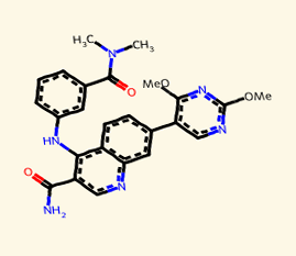 COc1ncc(-c2ccc3c(Nc4cccc(C(=O)N(C)C)c4)c(C(N)=O)cnc3c2)c(OC)n1